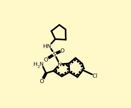 NC(=O)c1cc2cc(Cl)ccc2n1S(=O)(=O)NC1CCCC1